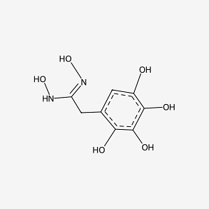 ON=C(Cc1cc(O)c(O)c(O)c1O)NO